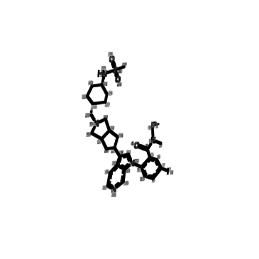 CC(C)N(C)C(=O)c1cc(F)ccc1-n1cc(C2CC3CN(C[C@H]4CC[C@H](NS(C)(=O)=O)CC4)CC3C2)c2ccncc21